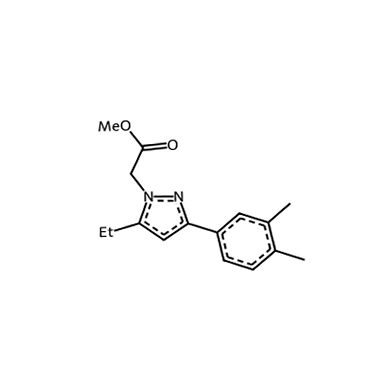 CCc1cc(-c2ccc(C)c(C)c2)nn1CC(=O)OC